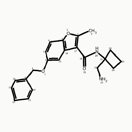 Cc1oc2ccc(OCc3ccccc3)cc2c1C(=O)NC1(CN)CCC1